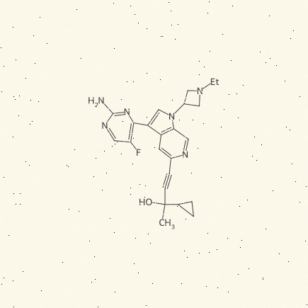 CCN1CC(n2cc(-c3nc(N)ncc3F)c3cc(C#CC(C)(O)C4CC4)ncc32)C1